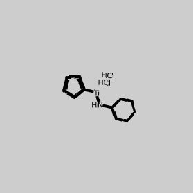 C1=CC[C]([Ti][NH]C2CCCCC2)=C1.Cl.Cl